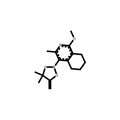 C=C1OB(c2c(C)nc(OC)c3c2CCCC3)OC1(C)C